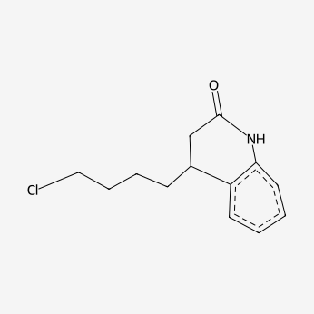 O=C1CC(CCCCCl)c2ccccc2N1